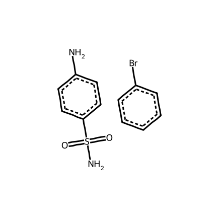 Brc1ccccc1.Nc1ccc(S(N)(=O)=O)cc1